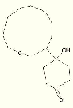 O=C1CCC(O)(C2CCCCCCCCCC2)CC1